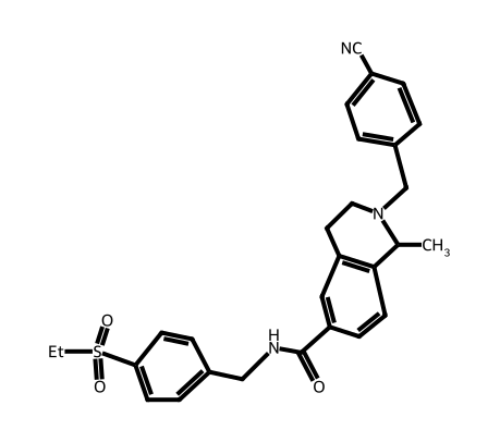 CCS(=O)(=O)c1ccc(CNC(=O)c2ccc3c(c2)CCN(Cc2ccc(C#N)cc2)C3C)cc1